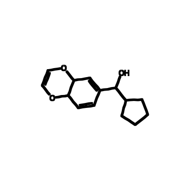 OC(C1=CC2OC=COC2C=C1)C1CCCC1